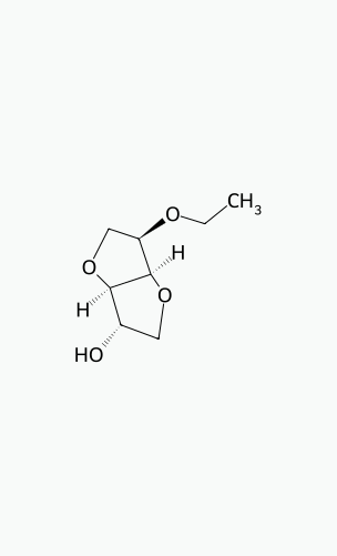 CCO[C@@H]1CO[C@H]2[C@@H]1OC[C@@H]2O